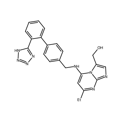 CCc1cc(NCc2ccc(-c3ccccc3-c3nnn[nH]3)cc2)n2c(CO)cnc2n1